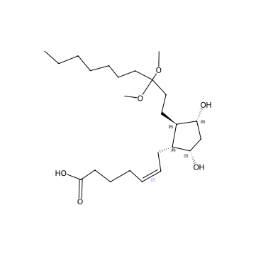 CCCCCCCC(CC[C@@H]1[C@@H](C/C=C\CCCC(=O)O)[C@@H](O)C[C@H]1O)(OC)OC